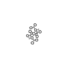 c1ccc(N(c2ccccc2)c2cc3c4c(c2)-c2c5c6ccccc6n6c5c(c5c7ccccc7n(c25)B4c2ccccc2S3)-c2cc(N(c3ccccc3)c3ccccc3)cc3c2B6c2ccccc2S3)cc1